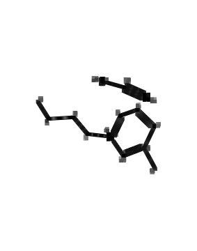 CCCC[n+]1cccc(C)c1.N#C[S-]